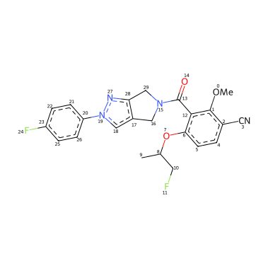 COc1c(C#N)ccc(OC(C)CF)c1C(=O)N1Cc2cn(-c3ccc(F)cc3)nc2C1